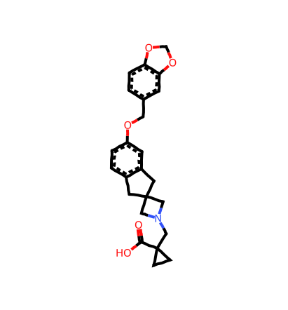 O=C(O)C1(CN2CC3(Cc4ccc(OCc5ccc6c(c5)OCO6)cc4C3)C2)CC1